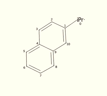 C[C](C)c1ccc2ccccc2c1